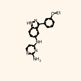 CCOc1cccc(-c2n[nH]c3ccc(Nc4ccnc(N)n4)cc23)c1